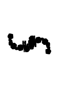 O=C(ON1CCN=C1Nc1ccc(Cc2ccc(OCCC3CCCC3)cc2)cc1)C(=O)ON1CCN=C1Nc1ccc(Cc2ccc(OCCC3CCCC3)cc2)cc1